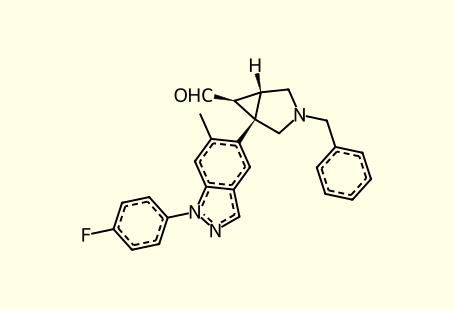 Cc1cc2c(cnn2-c2ccc(F)cc2)cc1[C@]12CN(Cc3ccccc3)C[C@H]1[C@@H]2C=O